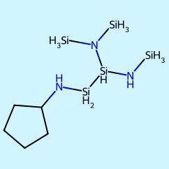 [SiH3]N[SiH]([SiH2]NC1CCCC1)N([SiH3])[SiH3]